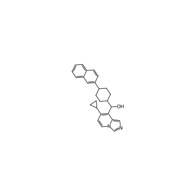 OC(c1c(C2CC2)ccn2cncc12)C1CCC(c2ccc3ccccc3c2)CC1